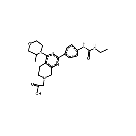 CCNC(=O)Nc1ccc(-c2nc3c(c(N4CCOCC4C)n2)CCN(CC(=O)O)C3)cc1